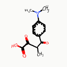 CC(C(=O)C(=O)O)C(=O)c1ccc(N(C)C)cc1